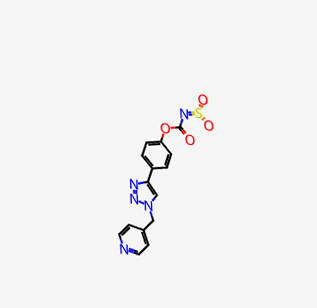 O=C(N=S(=O)=O)Oc1ccc(-c2cn(Cc3ccncc3)nn2)cc1